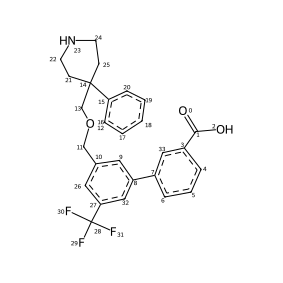 O=C(O)c1cccc(-c2cc(COCC3(c4ccccc4)CCNCC3)cc(C(F)(F)F)c2)c1